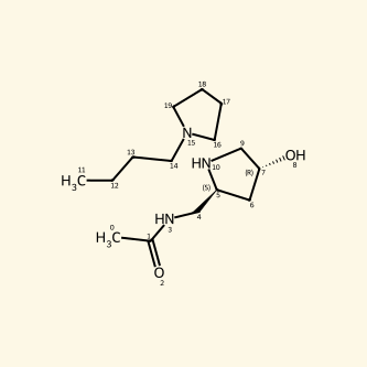 CC(=O)NC[C@@H]1C[C@@H](O)CN1.CCCCN1CCCC1